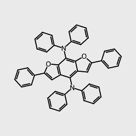 c1ccc(-c2cc3c(N(c4ccccc4)c4ccccc4)c4cc(-c5ccccc5)oc4c(N(c4ccccc4)c4ccccc4)c3o2)cc1